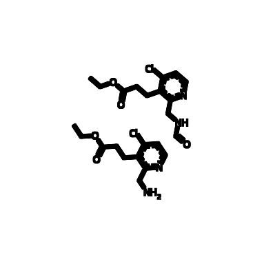 CCOC(=O)CCc1c(Cl)ccnc1CN.CCOC(=O)CCc1c(Cl)ccnc1CNC=O